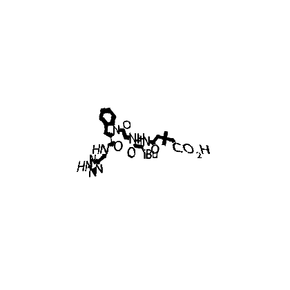 CC[C@H](C)[C@H](NC(=O)CC(C)(C)CC(=O)O)C(=O)NCC(=O)N1c2ccccc2C[C@H]1C(=O)NCc1nn[nH]n1